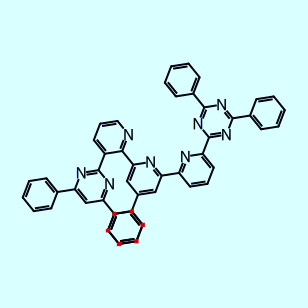 c1ccc(-c2cc(-c3cccc(-c4nc(-c5ccccc5)nc(-c5ccccc5)n4)n3)nc(-c3ncccc3-c3nc(-c4ccccc4)cc(-c4ccccc4)n3)c2)cc1